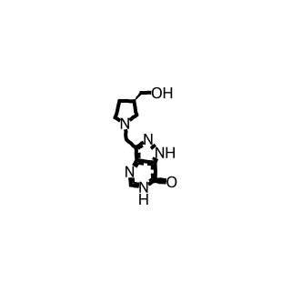 O=c1[nH]cnc2c(CN3CC[C@@H](CO)C3)n[nH]c12